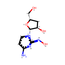 Nc1ccn([C@@H]2O[C@H](CO)C[C@H]2O)/c(=N/O)n1